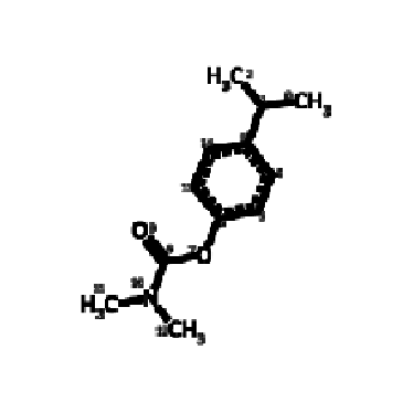 CC(C)c1ccc(OC(=O)N(C)C)cc1